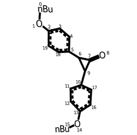 CCCCOc1ccc(C2C(=O)C2c2ccc(OCCCC)cc2)cc1